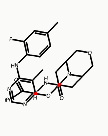 Cc1ccc(Nc2ncnc(OC3CC4COCC(C3)N4C(=O)NNC(=O)C(C)C)c2C)c(F)c1